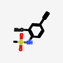 C#Cc1ccc(NS(C)(=O)=O)c(OC)c1